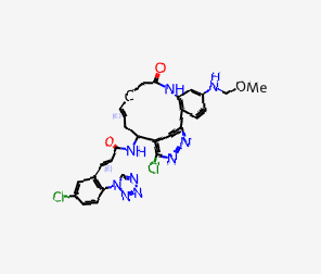 COCNc1ccc2c(c1)NC(=O)CC/C=C/CC(NC(=O)/C=C/c1cc(Cl)ccc1-n1cnnn1)c1cc-2nnc1Cl